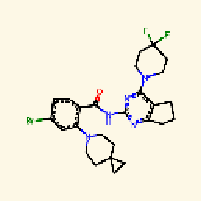 O=C(Nc1nc2c(c(N3CCC(F)(F)CC3)n1)CCC2)c1ccc(Br)cc1N1CCC2(CC1)CC2